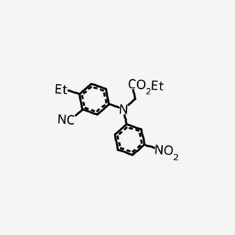 CCOC(=O)CN(c1cccc([N+](=O)[O-])c1)c1ccc(CC)c(C#N)c1